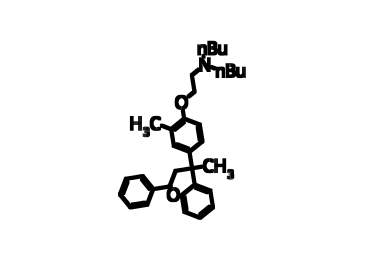 CCCCN(CCCC)CCOc1ccc(C(C)(CC(=O)c2ccccc2)c2ccccc2)cc1C